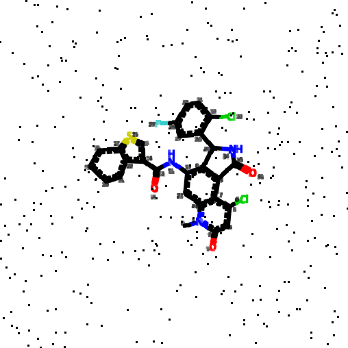 Cn1c(=O)cc(Cl)c2c3c(c(NC(=O)c4csc5ccccc45)cc21)C(c1cc(F)ccc1Cl)NC3=O